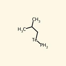 CC(C)C[Te]P